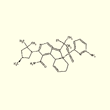 CCC(C)(C)C(=O)[N+]1(S(=O)(=O)c2cccc(N)n2)CCC=CC1c1ccnc(N2C[C@@H](C)CC2(C)C)c1C(N)=O